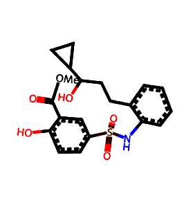 COC(=O)c1cc(S(=O)(=O)Nc2ccccc2CCC(O)C2CC2)ccc1O